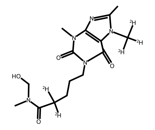 [2H]C([2H])(CCCn1c(=O)c2c(nc(C)n2C([2H])([2H])[2H])n(C)c1=O)C(=O)N(C)CO